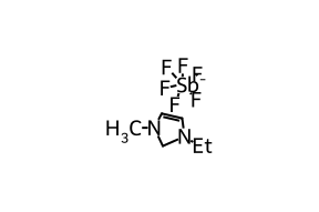 CCN1C=CN(C)C1.[F][Sb-]([F])([F])([F])([F])[F]